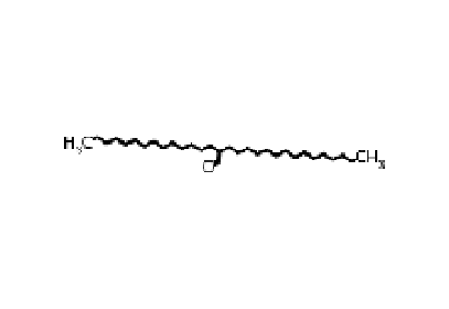 CCCCCCCCCCCCCCCC(C=O)CCCCCCCCCCCCCC